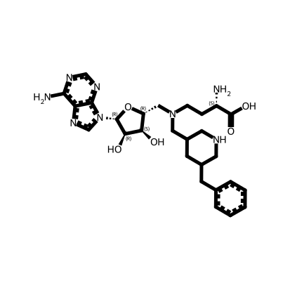 Nc1ncnc2c1ncn2[C@@H]1O[C@H](CN(CC[C@H](N)C(=O)O)CC2CNCC(Cc3ccccc3)C2)[C@@H](O)[C@H]1O